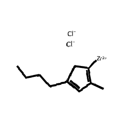 CCCCC1=CC(C)=[C]([Zr+2])C1.[Cl-].[Cl-]